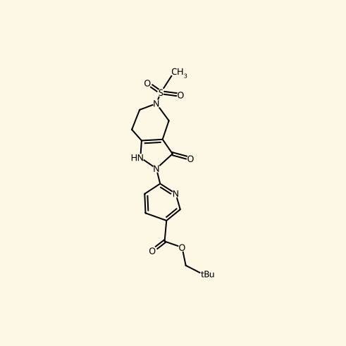 CC(C)(C)COC(=O)c1ccc(-n2[nH]c3c(c2=O)CN(S(C)(=O)=O)CC3)nc1